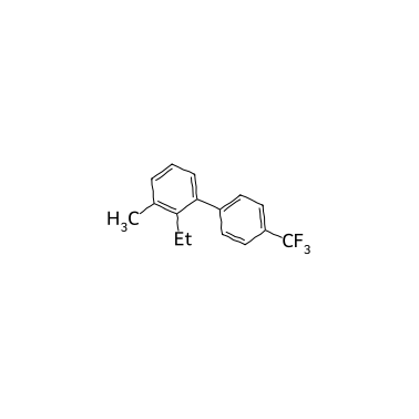 CCc1c(C)cccc1-c1ccc(C(F)(F)F)cc1